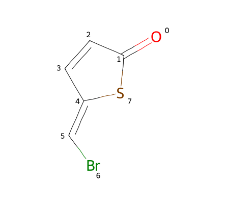 O=C1C=C/C(=C/Br)S1